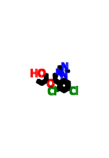 CCC(CO)OC(Cn1cncn1)c1ccc(Cl)cc1Cl